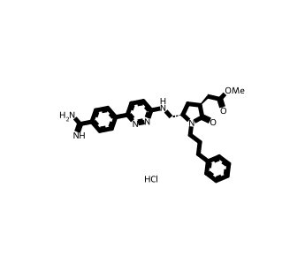 COC(=O)C[C@@H]1C[C@@H](CNc2ccc(-c3ccc(C(=N)N)cc3)nn2)N(CCCc2ccccc2)C1=O.Cl